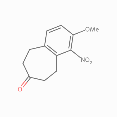 COc1ccc2c(c1[N+](=O)[O-])CCC(=O)CC2